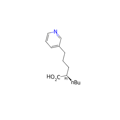 CCCC[C@H](CCCc1cccnc1)C(=O)O